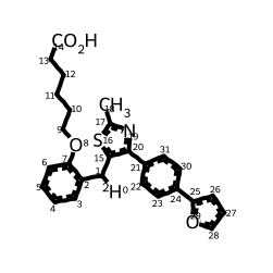 [2H]C(c1ccccc1OCCCCCC(=O)O)c1sc(C)nc1-c1ccc(-c2ccco2)cc1